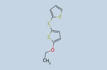 CCOc1ccc(Sc2cccs2)s1